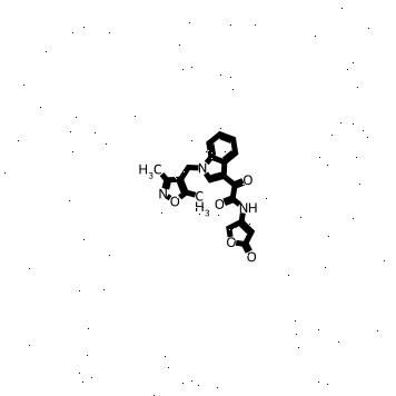 Cc1noc(C)c1Cn1cc(C(=O)C(=O)NC2=CC(=O)OC2)c2ccccc21